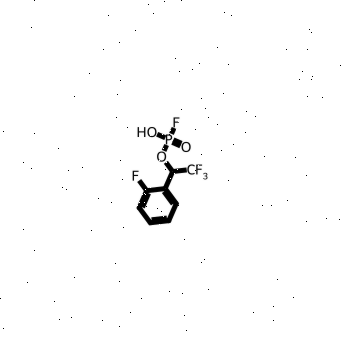 O=P(O)(F)OC(c1ccccc1F)C(F)(F)F